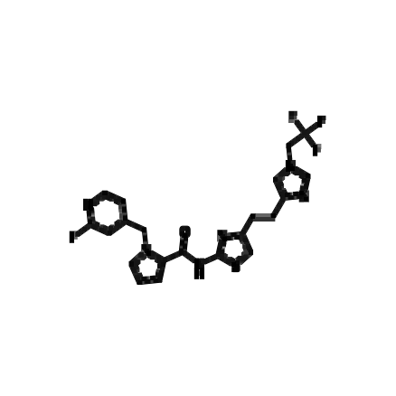 O=C(Nc1nc(C=Cc2cn(CC(F)(F)F)cn2)cs1)c1cccn1Cc1ccnc(F)c1